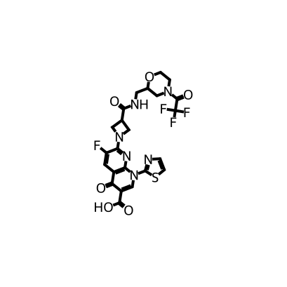 O=C(O)c1cn(-c2nccs2)c2nc(N3CC(C(=O)NCC4CN(C(=O)C(F)(F)F)CCO4)C3)c(F)cc2c1=O